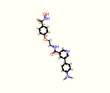 CN(C)c1ccc(-c2cncc(C(=O)NCCOc3ccc(C(=S)NO)cc3)c2)cc1